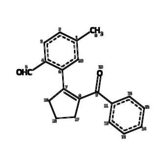 Cc1ccc(C=O)c(C2=C(C(=O)c3ccccc3)CCC2)c1